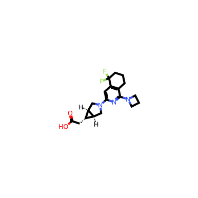 O=C(O)C[C@@H]1[C@H]2CN(c3cc4c(c(N5CCC5)n3)CCCC4(F)F)C[C@@H]12